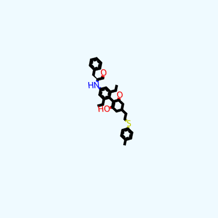 CCc1cc(N[C@H](C=O)Cc2ccccc2)cc(CC)c1C1=C(O)CC(CCSc2ccc(C)cc2)CC1=O